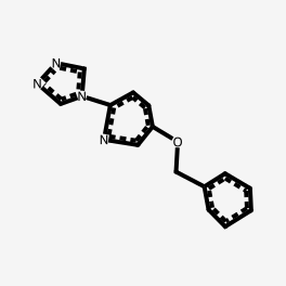 c1ccc(COc2ccc(-n3cnnc3)nc2)cc1